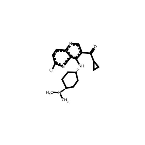 CN(C)[C@H]1CC[C@H](Nc2c(C(=O)C3CC3)cnc3ccc(Cl)nc23)CC1